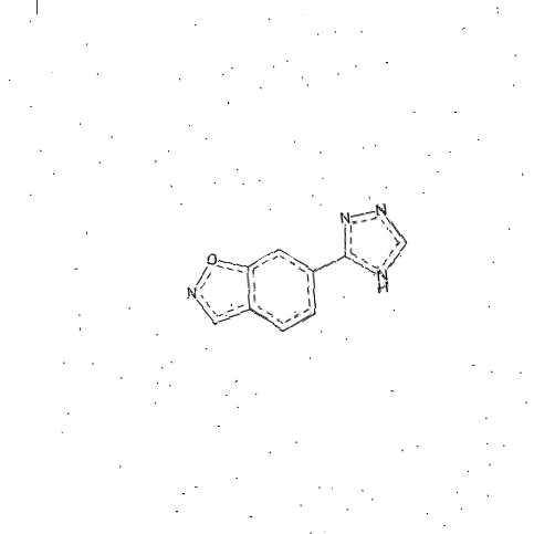 c1nnc(-c2ccc3cnoc3c2)[nH]1